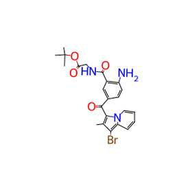 Cc1c(Br)c2ccccn2c1C(=O)c1ccc(N)c(C(=O)NCC(=O)OC(C)(C)C)c1